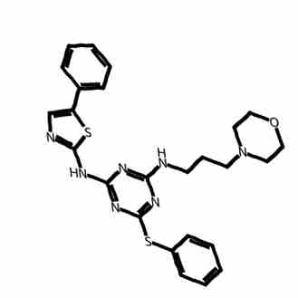 c1ccc(Sc2nc(NCCCN3CCOCC3)nc(Nc3ncc(-c4ccccc4)s3)n2)cc1